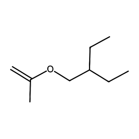 C=C(C)OCC(CC)CC